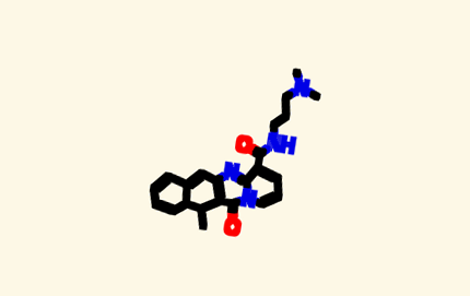 CC1c2c(nc3c(C(=O)NCCCN(C)C)cccn3c2=O)C=C2C=CC=CC21